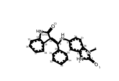 Cn1c(=O)[nH]c2cc(NC(=C3C(=O)Nc4ccccc43)c3ccccc3)ccc21